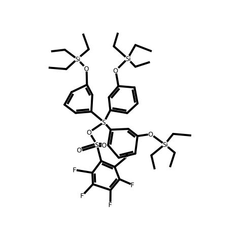 CC[Si](CC)(CC)Oc1cccc(S(OS(=O)(=O)c2c(F)c(F)c(F)c(F)c2F)(c2cccc(O[Si](CC)(CC)CC)c2)c2cccc(O[Si](CC)(CC)CC)c2)c1